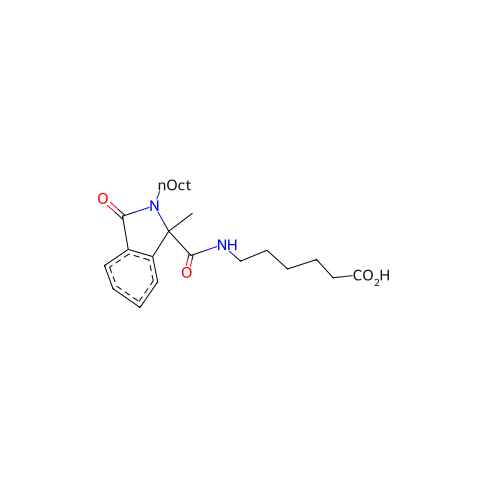 CCCCCCCCN1C(=O)c2ccccc2C1(C)C(=O)NCCCCCC(=O)O